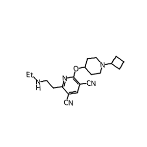 CCNCCc1nc(OC2CCN(C3CCC3)CC2)c(C#N)cc1C#N